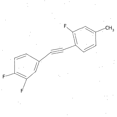 Cc1ccc(C#Cc2ccc(F)c(F)c2)c(F)c1